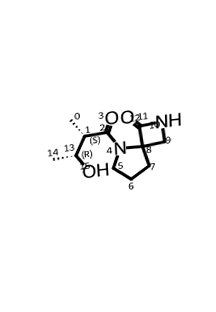 C[C@H](C(=O)N1CCCC12CNC2=O)[C@@H](C)O